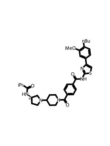 CCCCc1ccc(-c2csc(NC(=O)c3ccc(C(=O)N4CCC(N5CC[C@@H](NC(=O)C(C)C)C5)CC4)cc3)n2)cc1OC